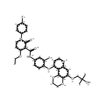 CCOc1ccn(-c2ccc(F)cc2)c(=O)c1C(=O)Nc1ccc(Oc2ccnc3cc(OCC(C)(C)O)c4c(c23)OCCO4)c(F)c1